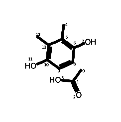 CC(=O)O.Cc1c(O)ccc(O)c1C